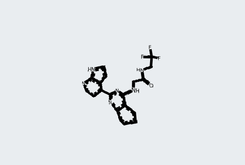 O=C(CNc1nc(-c2ccnc3[nH]ccc23)nc2ccccc12)NCC(F)(F)F